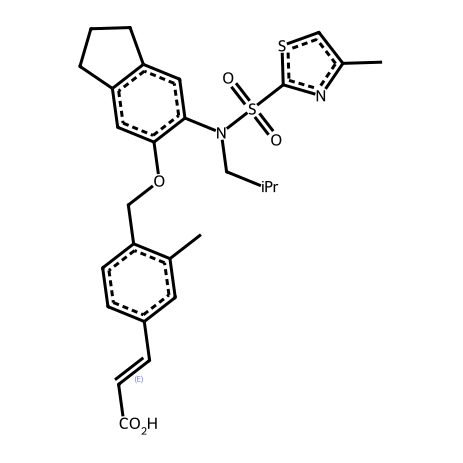 Cc1csc(S(=O)(=O)N(CC(C)C)c2cc3c(cc2OCc2ccc(/C=C/C(=O)O)cc2C)CCC3)n1